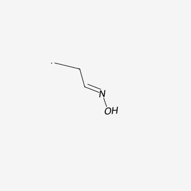 [CH2]CC=NO